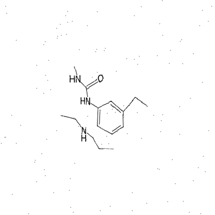 CCCNCC.CCc1cccc(NC(=O)NC)c1